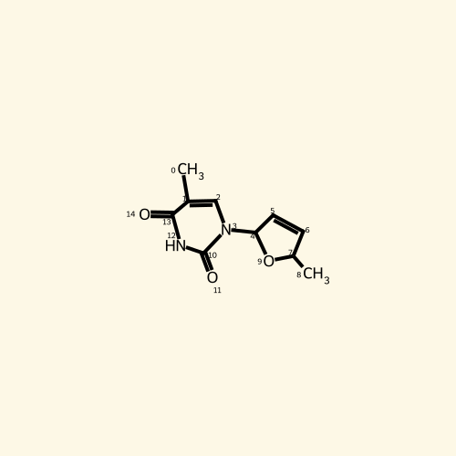 Cc1cn(C2C=CC(C)O2)c(=O)[nH]c1=O